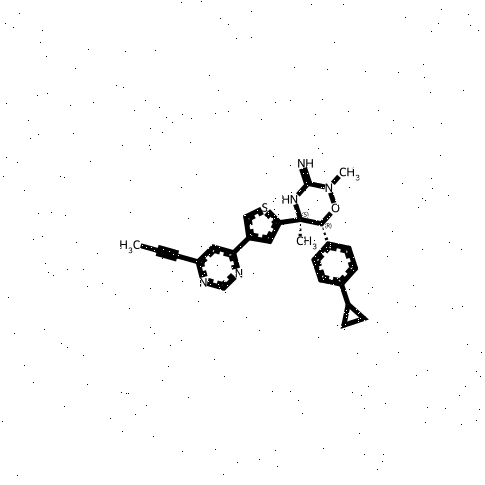 CC#Cc1cc(-c2csc([C@@]3(C)NC(=N)N(C)O[C@@H]3c3ccc(C4CC4)cc3)c2)ncn1